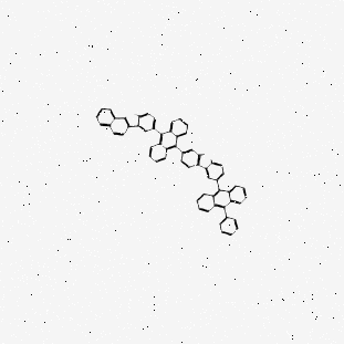 c1ccc(-c2c3ccccc3c(-c3ccc4sc5cc(-c6c7ccccc7c(-c7ccc8oc9c%10ccccc%10ccc9c8c7)c7ccccc67)ccc5c4c3)c3ccccc23)cc1